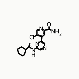 C[C@@H](Nc1cncc(-c2cc(C(N)=O)ncc2Cl)n1)C1CCCCC1